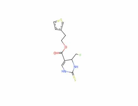 O=C(OCCc1ccsc1)C1=CNC(=S)NC1CF